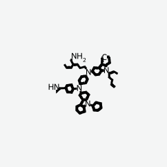 C=CCC/C(=C\C)n1c2ccccc2c2cc(N(CC/C=C(\C=C/C)CN)c3ccc(N(c4ccc(C5CN5)cc4)c4ccc5c(c4)c4ccccc4n5-c4ccccc4)cc3)ccc21